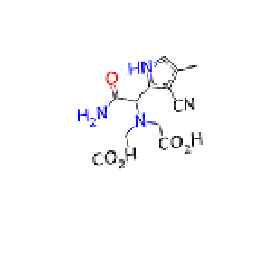 Cc1c[nH]c(C(C(N)=O)N(CC(=O)O)CC(=O)O)c1C#N